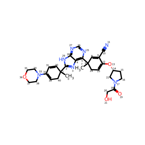 CC1(c2nc3c(C4(C)C=C(C#N)C(O[C@@H]5CCN(C(=O)CO)C5)=CC4)ncnc3[nH]2)C=CC(N2CCOCC2)=CC1